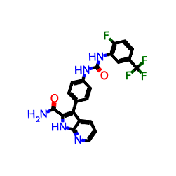 NC(=O)c1[nH]c2ncccc2c1-c1ccc(NC(=O)Nc2cc(C(F)(F)F)ccc2F)cc1